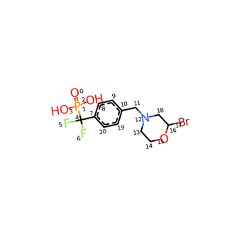 O=P(O)(O)C(F)(F)c1ccc(CN2CCOC(Br)C2)cc1